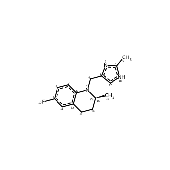 Cc1nc(CN2c3ccc(F)cc3CC[C@@H]2C)c[nH]1